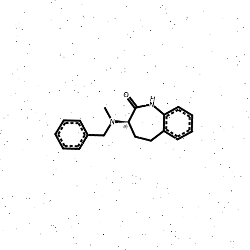 CN(Cc1ccccc1)[C@@H]1CCc2ccccc2NC1=O